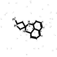 CC(C)CCC1(CC(C)C)NC2C=CC=C3C=CCC(N1)C32